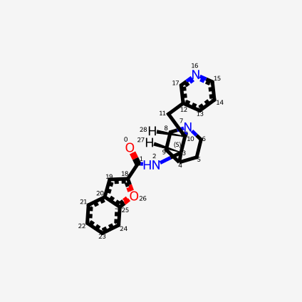 O=C(N[C@H]1C2CCN(CC2)[C@H]1Cc1cccnc1)c1cc2ccccc2o1